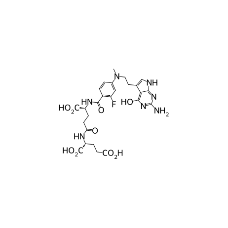 CN(CCc1c[nH]c2nc(N)nc(O)c12)c1ccc(C(=O)N[C@@H](CCC(=O)N[C@@H](CCC(=O)O)C(=O)O)C(=O)O)c(F)c1